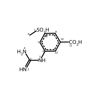 CS(=O)(=O)O.N=C(N)Nc1cccc(C(=O)O)c1